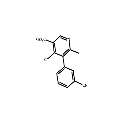 CCOC(=O)c1cnc(C)c(-c2cccc(C#N)c2)c1Cl